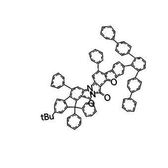 CC(C)(C)c1ccc2c(c1)C(c1ccccc1)(c1ccccc1)c1c-2c(-c2ccccc2)cc2c1c(=O)n1c(=O)c3c4oc5cc(-c6c(-c7ccc(-c8ccccc8)cc7)cccc6-c6ccc(-c7ccccc7)cc6)ccc5c4c(-c4ccccc4)cc3n21